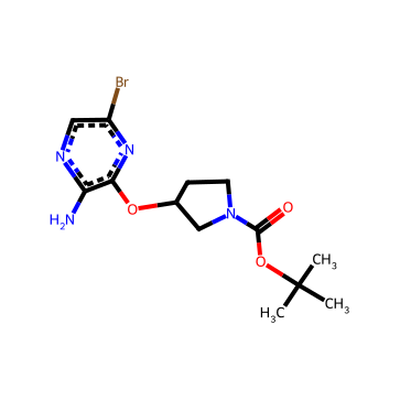 CC(C)(C)OC(=O)N1CCC(Oc2nc(Br)cnc2N)C1